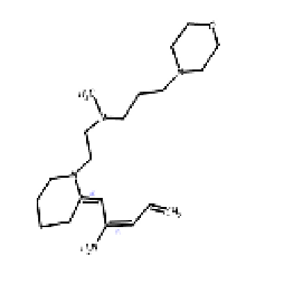 C=C/C=C(N)\C=C1/CCCCN1CCN(C)CCCN1CCOCC1